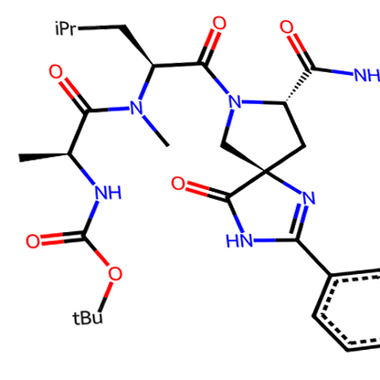 CC(C)C[C@@H](C(=O)N1C[C@@]2(C[C@H]1C(N)=O)N=C(c1ccccc1)NC2=O)N(C)C(=O)[C@H](C)NC(=O)OC(C)(C)C